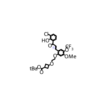 COc1cc(OCCOC2CC(C(=O)OC(C)(C)C)C2)c(/C=C/C(=O)c2cccc(Cl)c2O)cc1OC(F)(F)F